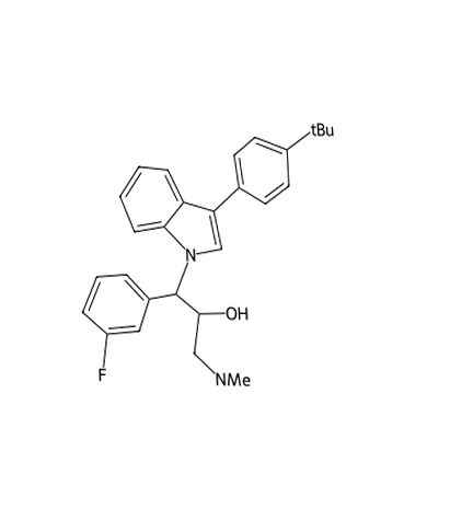 CNCC(O)C(c1cccc(F)c1)n1cc(-c2ccc(C(C)(C)C)cc2)c2ccccc21